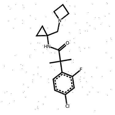 CC(C)(C(=O)NC1(CN2CCC2)CC1)c1ccc(Cl)cc1F